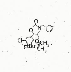 CC(C)(C)[Si](C)(C)OCC1CN(Cc2ccccc2)C(=O)COC1c1ccc(F)c(Cl)c1